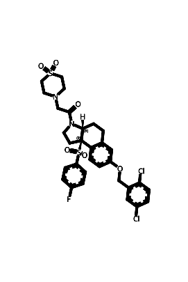 O=C(CN1CCS(=O)(=O)CC1)N1CC[C@@]2(S(=O)(=O)c3ccc(F)cc3)c3ccc(OCc4cc(Cl)ccc4Cl)cc3CC[C@@H]12